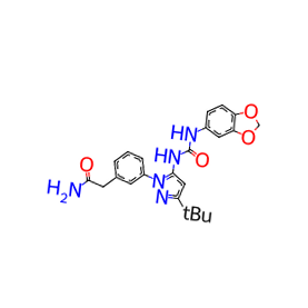 CC(C)(C)c1cc(NC(=O)Nc2ccc3c(c2)OCO3)n(-c2cccc(CC(N)=O)c2)n1